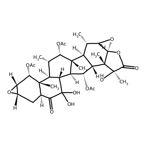 CC(=O)O[C@@H]1[C@H]2[C@H]3[C@H]([C@H](C)[C@H](OC(C)=O)[C@]2(C)[C@H]2[C@H](C)[C@@H]4O[C@@]45OC(=O)[C@@](C)(O)[C@]5(C)[C@H]12)[C@]1(C)[C@H](C[C@@H]2O[C@@H]2[C@@H]1OC(C)=O)C(=O)C3(O)O